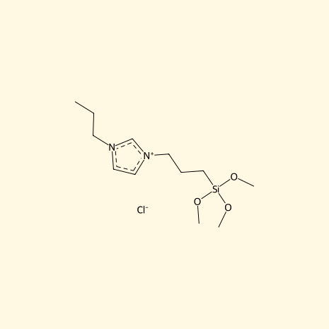 CCCn1cc[n+](CCC[Si](OC)(OC)OC)c1.[Cl-]